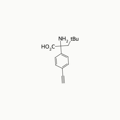 C#Cc1ccc(C(N)(CC(C)(C)C)C(=O)O)cc1